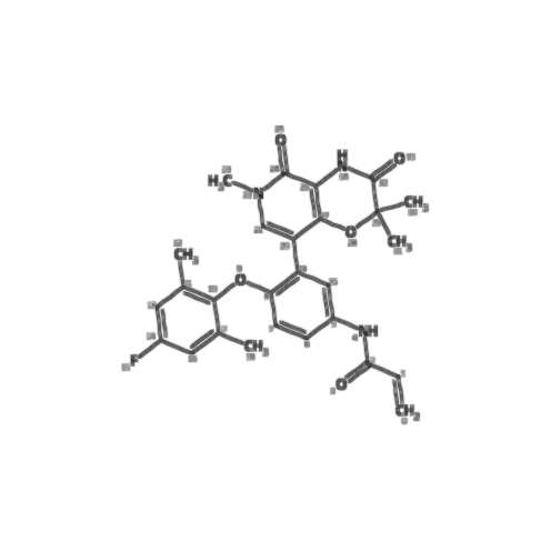 C=CC(=O)Nc1ccc(Oc2c(C)cc(F)cc2C)c(-c2cn(C)c(=O)c3c2OC(C)(C)C(=O)N3)c1